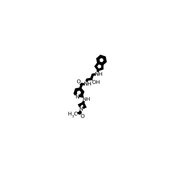 CC(=O)N1CC(Nc2cc(C(=O)NC[C@@H](O)CNC3Cc4ccccc4C3)ccn2)C1